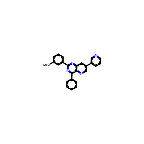 COc1cccc(-c2nc(-c3ccccc3)c3ncc(-c4cccnc4)cc3n2)c1